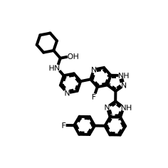 OC(Nc1cncc(-c2ncc3[nH]nc(-c4nc5c(-c6ccc(F)cc6)cccc5[nH]4)c3c2F)c1)C1CCCCC1